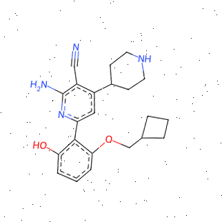 N#Cc1c(C2CCNCC2)cc(-c2c(O)cccc2OCC2CCC2)nc1N